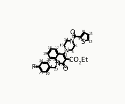 CCOC(=O)c1c(N2CCN(C(=O)c3cccs3)CC2)c2ccccc2n(Cc2ccc(F)cc2)c1=O